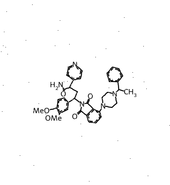 COc1ccc(C(CC(C(N)=O)c2ccncc2)N2C(=O)c3cccc(N4CCN(C(C)c5ccccc5)CC4)c3C2=O)cc1OC